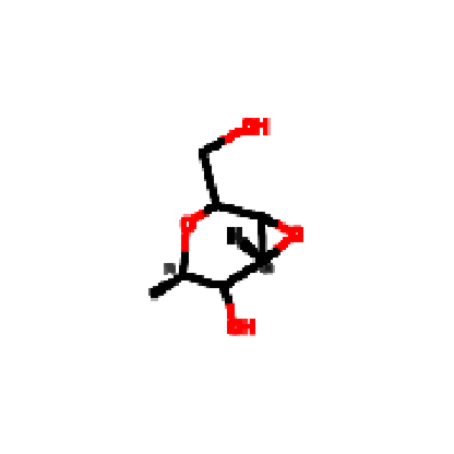 C[C@H]1OC(CO)C2O[C@@H]2C1O